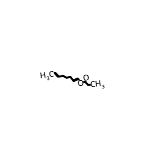 CC=CCCCC=COC(=O)CC